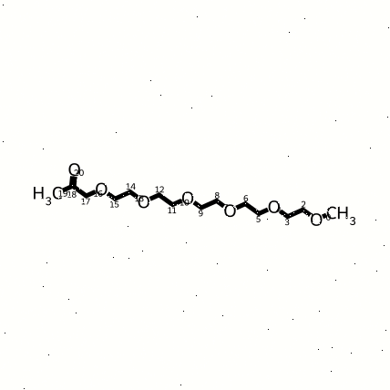 COCCOCCOCCOCCOCCOCC(C)=O